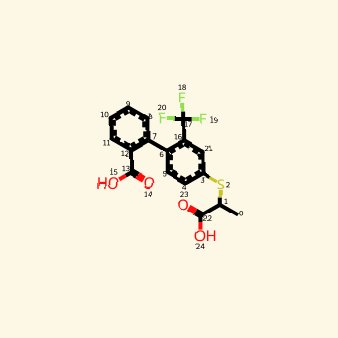 CC(Sc1ccc(-c2ccccc2C(=O)O)c(C(F)(F)F)c1)C(=O)O